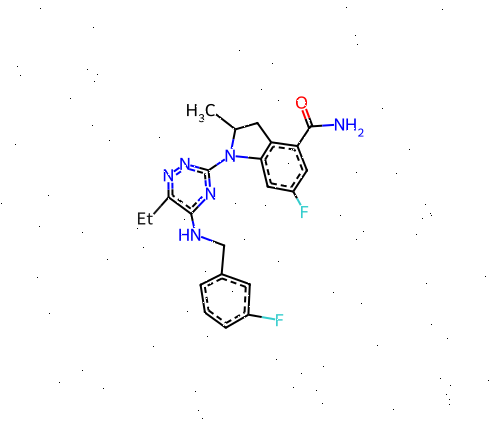 CCc1nnc(N2c3cc(F)cc(C(N)=O)c3CC2C)nc1NCc1cccc(F)c1